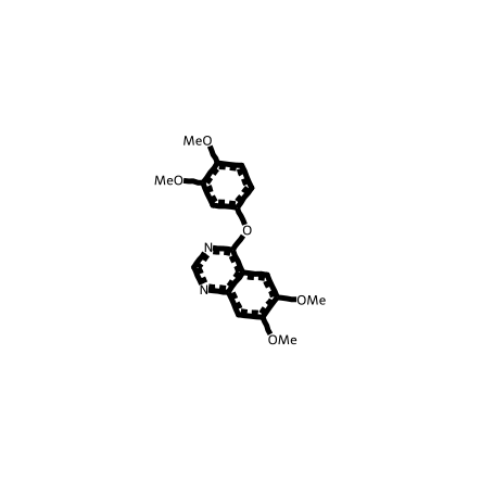 COc1ccc(Oc2ncnc3cc(OC)c(OC)cc23)cc1OC